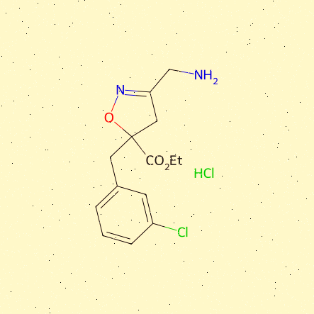 CCOC(=O)C1(Cc2cccc(Cl)c2)CC(CN)=NO1.Cl